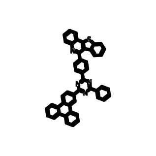 c1ccc(-c2nc(-c3ccc(-c4nc5ccccc5c5sc6ccccc6c45)cc3)nc(-c3ccc4c5ccccc5c5ccccc5c4c3)n2)cc1